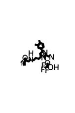 Cc1ccc(-c2cc(CCCNCC(=O)N(C)C)nc(C#N)n2)cc1C.O=C(O)C(F)(F)F